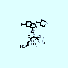 CC(C)(C)[C@H](NC(=O)c1nn(CC2CCOCC2)c2ccc(F)cc12)C(=O)NCCO